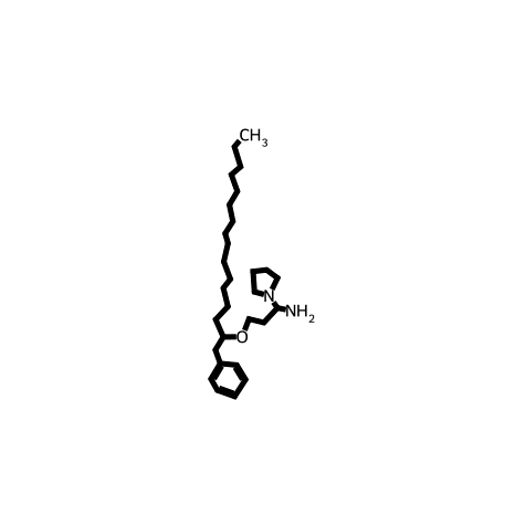 CCCCCCCCCCCCCCC(Cc1ccccc1)OCCC(N)N1CCCC1